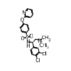 CN(C)C[C@H](NS(=O)(=O)c1ccc(Oc2ccccn2)cc1)c1ccc(Cl)c(Cl)c1